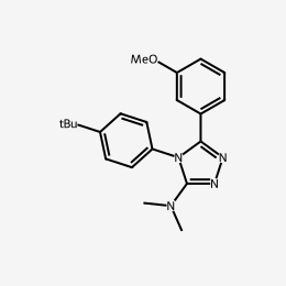 COc1cccc(-c2nnc(N(C)C)n2-c2ccc(C(C)(C)C)cc2)c1